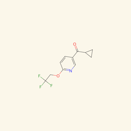 O=C(c1ccc(OCC(F)(F)F)nc1)C1CC1